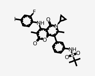 Cc1c(Nc2ccc(I)cc2F)c2c(=O)n(C3CC3)c(C)c(-c3cccc(NS(=O)(=O)C(C)(C)C)c3)c2oc1=O